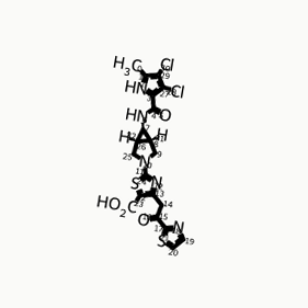 Cc1[nH]c(C(=O)N[C@H]2[C@@H]3CN(c4nc(CC(=O)c5nccs5)c(C(=O)O)s4)C[C@@H]32)c(Cl)c1Cl